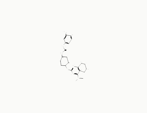 CN(C)c1nc(NC2CCC(NC(=S)Nc3cccc(Br)c3)CC2)nc2c1CCCC2